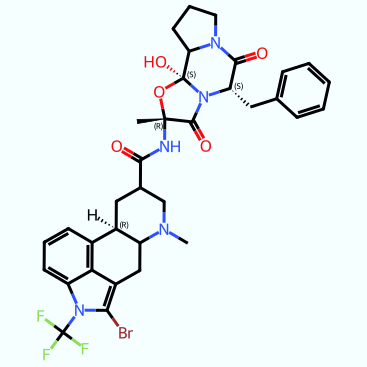 CN1CC(C(=O)N[C@]2(C)O[C@@]3(O)C4CCCN4C(=O)[C@H](Cc4ccccc4)N3C2=O)C[C@@H]2c3cccc4c3c(c(Br)n4C(F)(F)F)CC21